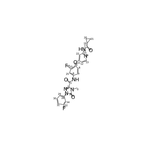 Cn1c(C(=O)Nc2ccc(Oc3ccnc(NC(=O)C4CC4)c3)c(F)c2)nn(-c2cccc(F)c2)c1=O